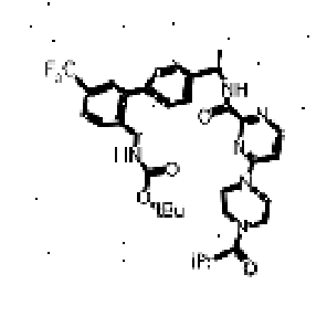 CC(C)C(=O)N1CCN(c2ccnc(C(=O)N[C@H](C)c3ccc(-c4cc(C(F)(F)F)ccc4CNC(=O)OC(C)(C)C)cc3)n2)CC1